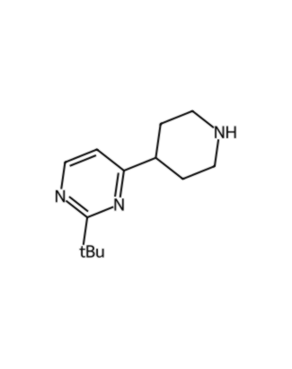 CC(C)(C)c1nccc(C2CCNCC2)n1